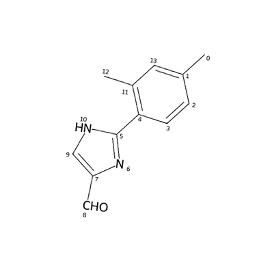 Cc1ccc(-c2nc(C=O)c[nH]2)c(C)c1